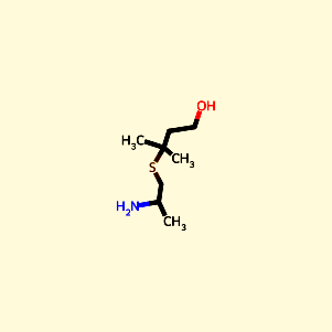 CC(N)CSC(C)(C)CCO